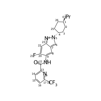 CC(C)[C@H]1CC[C@H](n2cc3cc(NC(=O)c4cccc(C(F)(F)F)n4)c(F)cc3n2)CC1